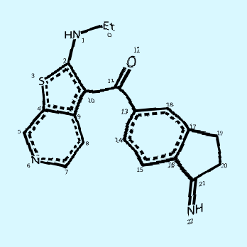 CCNc1sc2cnccc2c1C(=O)c1ccc2c(c1)CCC2=N